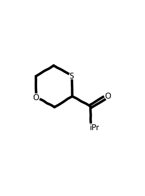 CC(C)C(=O)C1COCCS1